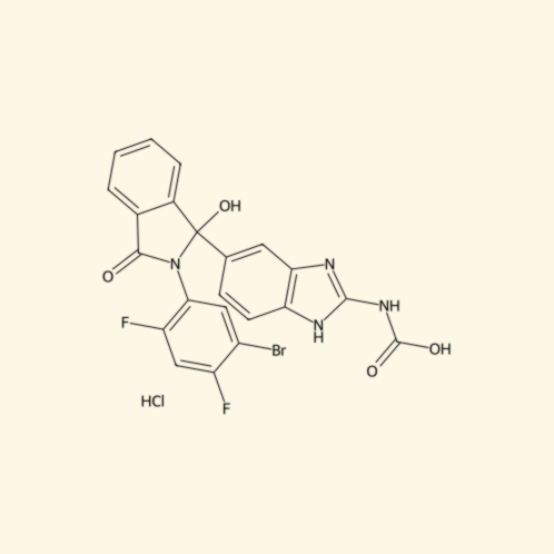 Cl.O=C(O)Nc1nc2cc(C3(O)c4ccccc4C(=O)N3c3cc(Br)c(F)cc3F)ccc2[nH]1